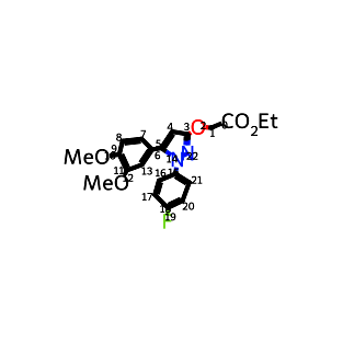 CCOC(=O)COc1cc(-c2ccc(OC)c(OC)c2)n(-c2ccc(F)cc2)n1